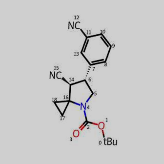 CC(C)(C)OC(=O)N1C[C@@H](c2cccc(C#N)c2)[C@H](C#N)C12CC2